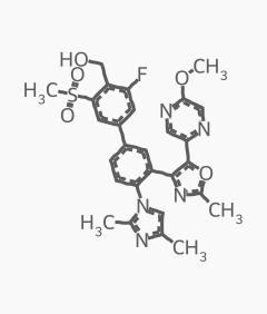 COc1cnc(-c2oc(C)nc2-c2cc(-c3cc(F)c(CO)c(S(C)(=O)=O)c3)ccc2-n2cc(C)nc2C)cn1